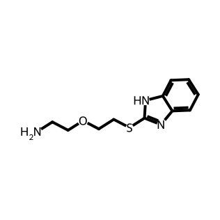 NCCOCCSc1nc2ccccc2[nH]1